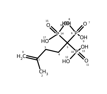 C=C(C)CCC(P(=O)(O)O)(P(=O)(O)O)P(=O)(O)O